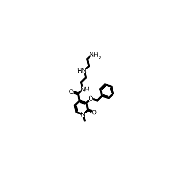 Cn1ccc(C(=O)NCCNCCN)c(OCc2ccccc2)c1=O